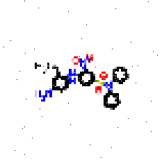 CCc1cc(N)ccc1Nc1ccc(S(=O)(=O)N(c2ccccc2)c2ccccc2)cc1[N+](=O)[O-]